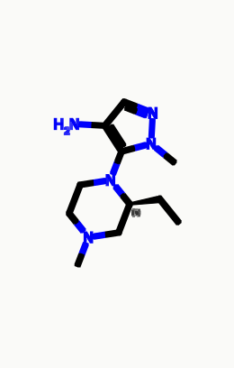 CC[C@H]1CN(C)CCN1c1c(N)cnn1C